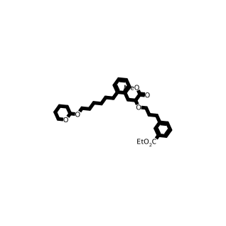 CCOC(=O)c1cccc(CCCOC(Cc2ccccc2CCCCCCOC2CCCCO2)C(=O)OC)c1